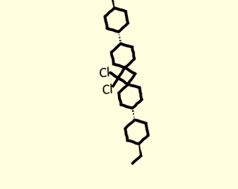 CC[C@H]1CC[C@H](C2CCC3(CC2)CC2(CCC([C@H]4CC[C@H](C)CC4)CC2)C3(Cl)Cl)CC1